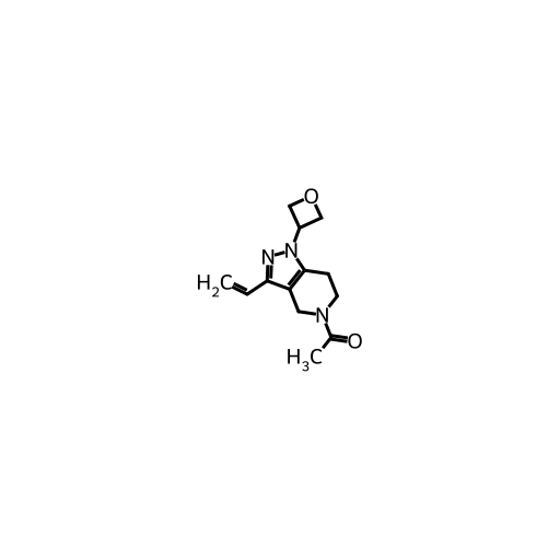 C=Cc1nn(C2COC2)c2c1CN(C(C)=O)CC2